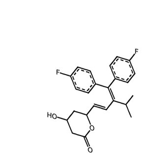 CC(C)C(C=CC1CC(O)CC(=O)O1)=C(c1ccc(F)cc1)c1ccc(F)cc1